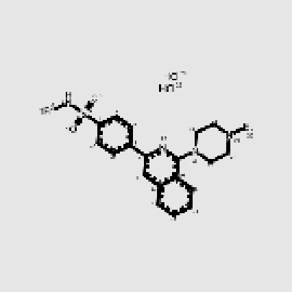 CCCNS(=O)(=O)c1ccc(-c2cc3ccccc3c(N3CCN(CC)CC3)n2)cc1.Cl.Cl